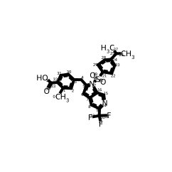 Cc1cc(Cc2cc3cc(C(F)(F)F)ncc3n2S(=O)(=O)c2ccc(C(C)C)cc2)ccc1C(=O)O